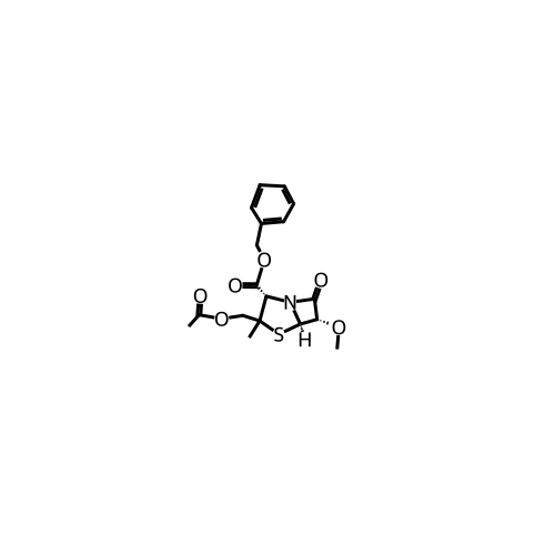 CO[C@H]1C(=O)N2[C@@H]1SC(C)(COC(C)=O)[C@@H]2C(=O)OCc1ccccc1